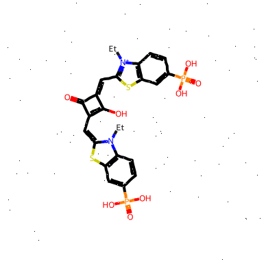 CCN1C(=CC2=C(O)C(=Cc3sc4cc(P(=O)(O)O)ccc4[n+]3CC)C2=O)Sc2cc(P(=O)(O)O)ccc21